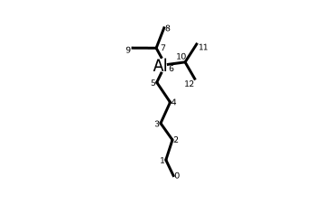 CCCCC[CH2][Al]([CH](C)C)[CH](C)C